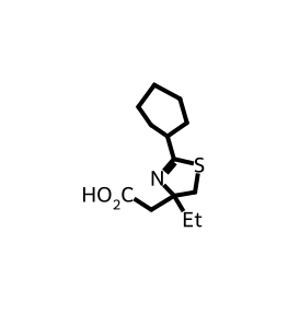 CCC1(CC(=O)O)CSC(C2CCCCC2)=N1